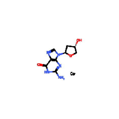 Nc1nc2c(ncn2[C@H]2C[C@H](O)CO2)c(=O)[nH]1.[Co]